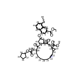 COC(=O)c1cc(O[C@@H]2C[C@H]3C(=O)N[C@]4(C(=O)OC)CC4/C=C\CCCCC[C@H](NC(=O)OC4CCCC4)C(=O)N3C2)c2cccc(SC)c2n1